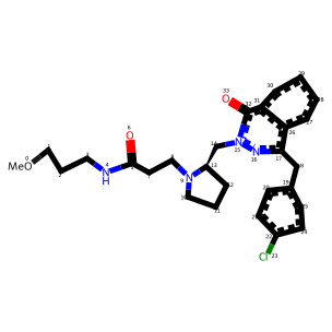 COCCCNC(=O)CCN1CCC[C@@H]1Cn1nc(Cc2ccc(Cl)cc2)c2ccccc2c1=O